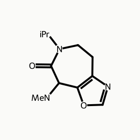 CNC1C(=O)N(C(C)C)CCc2ncoc21